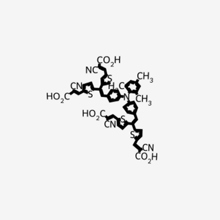 Cc1cc(C)c(N(c2ccc(C=C(c3ccc(/C=C(\C#N)C(=O)O)s3)c3ccc(/C=C(\C#N)C(=O)O)s3)cc2)c2ccc(/C=C(\c3csc(/C=C(\C#N)C(=O)O)c3)c3ccc(/C=C(\C#N)C(=O)O)s3)cc2)c(C)c1